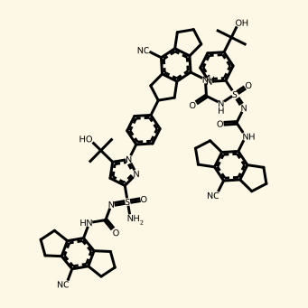 CC(C)(O)c1ccnc(S(=O)(=NC(=O)Nc2c3c(c(C#N)c4c2CCC4)CCC3)NC(=O)Nc2c3c(c(C#N)c4c2CC(c2ccc(-n5nc(S(N)(=O)=NC(=O)Nc6c7c(c(C#N)c8c6CCC8)CCC7)cc5C(C)(C)O)cc2)C4)CCC3)c1